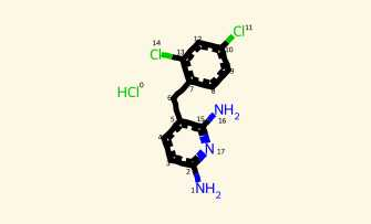 Cl.Nc1ccc(Cc2ccc(Cl)cc2Cl)c(N)n1